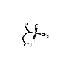 CC(C)N(CC(=O)O)S(C)(=O)=O